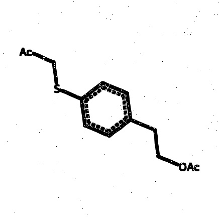 CC(=O)CSc1ccc(CCOC(C)=O)cc1